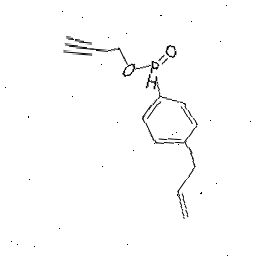 C#CCO[PH](=O)c1ccc(CC=C)cc1